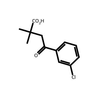 CC(C)(CC(=O)c1cccc(Cl)c1)C(=O)O